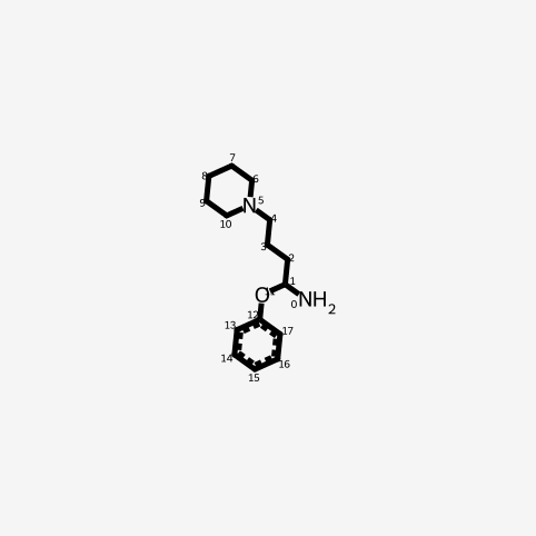 NC(CCCN1CCCCC1)Oc1ccccc1